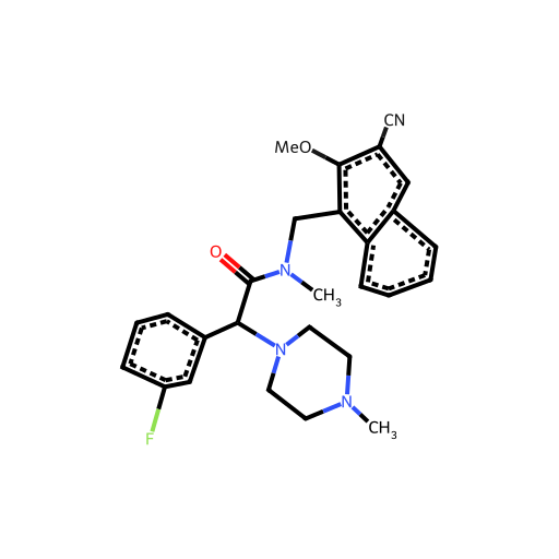 COc1c(C#N)cc2ccccc2c1CN(C)C(=O)C(c1cccc(F)c1)N1CCN(C)CC1